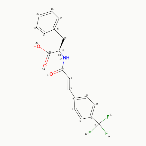 O=C(C=Cc1ccc(C(F)(F)F)cc1)N[C@H](Cc1ccccc1)C(=O)O